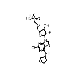 CP(=O)(O)COC[C@H]1O[C@@H](n2cnc3c(N[C@@H]4CCOC4)nc(Cl)nc32)[C@@H](F)[C@@H]1O